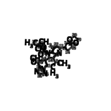 COc1cc(-c2c(C(C)C)c3nc(C4CCC5(C4)OCCO5)ccc3n2C(=O)OC(C)(C)C)cn2ncnc12